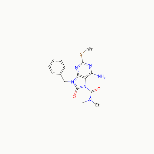 CCCSc1nc(N)c2c(n1)n(Cc1ccccc1)c(=O)n2C(=O)N(C)CC